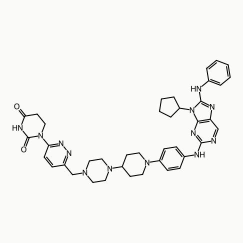 O=C1CCN(c2ccc(CN3CCN(C4CCN(c5ccc(Nc6ncc7nc(Nc8ccccc8)n(C8CCCC8)c7n6)cc5)CC4)CC3)nn2)C(=O)N1